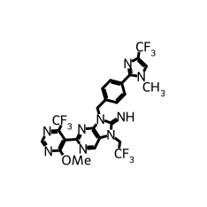 COc1ncnc(C(F)(F)F)c1-c1ncc2c(n1)n(Cc1ccc(-c3nc(C(F)(F)F)cn3C)cc1)c(=N)n2CC(F)(F)F